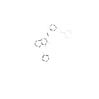 Cc1c(/C=C/c2cc(OCC3CCOCC3)ccn2)nc2ccccc2c1OCc1ccccc1